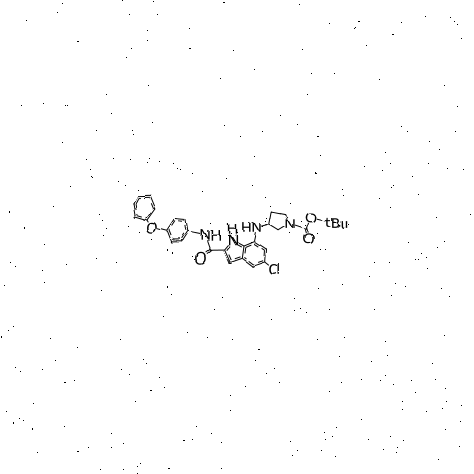 CC(C)(C)OC(=O)N1CCC(Nc2cc(Cl)cc3cc(C(=O)Nc4ccc(Oc5ccccc5)cc4)[nH]c23)C1